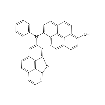 Oc1ccc2ccc3c(N(c4ccccc4)c4cc5ccc6cccc7oc(c4)c5c67)ccc4ccc1c2c43